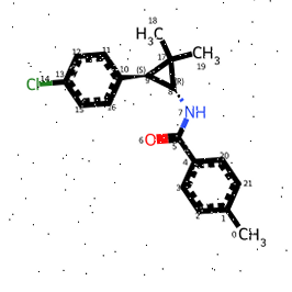 Cc1ccc(C(=O)N[C@@H]2[C@@H](c3ccc(Cl)cc3)C2(C)C)cc1